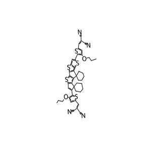 CCCOc1cc(C=C(C#N)C#N)sc1C1=Cc2sc3c(c2C12CCCCC2)C1(CCCCC1)c1c-3sc2cc(-c3sc(C=C(C#N)C#N)cc3OCCC)sc12